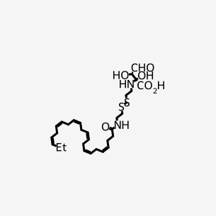 CC/C=C\C/C=C\C/C=C\C/C=C\C/C=C\C/C=C\CCC(=O)NCCSSCCN[C@](O)(C(=O)O)[C@@H](O)C=O